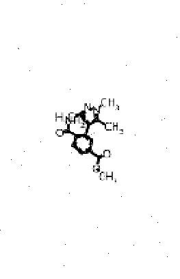 COC(=O)c1ccc(C(N)=O)c(-c2c(C)nn(C)c2C)c1